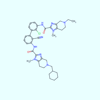 CCN1CCc2c(nc(C(=O)Nc3cccc(-c4cccc(NC(=O)c5nc6c(n5C)CCN(CC5CCCCC5)C6)c4C#N)c3Cl)n2C)C1